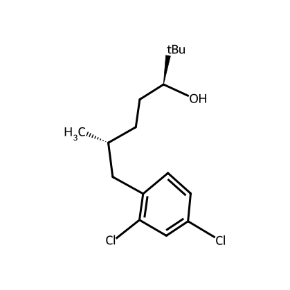 C[C@H](CC[C@H](O)C(C)(C)C)Cc1ccc(Cl)cc1Cl